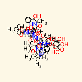 CC[C@H](C)[C@@H]([C@H](CC(=O)N1CCC[C@H]1[C@H](OC)[C@@H](C)C(=O)N[C@H](C)[C@H](O)c1ccccc1)OC)N(C)C(=O)[C@@H](NC(=O)[C@H](C(C)C)[N+](C)(C)Cc1ccc(O[C@@H]2O[C@H](C(=O)O)[C@@H](O)[C@@H](O)[C@@H]2O)c(NC(=O)CCNC(=O)[C@H](CNC(=O)OC(C)(C)C)N2C(=O)C=CC2=O)c1)C(C)C